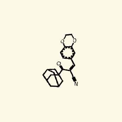 N#CC(=Cc1ccc2c(c1)OCCO2)C(=O)C12CC3CC(CC(C3)C1)C2